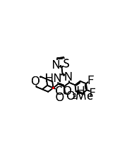 COC(=O)C1=C(CC2C3COCC2CC(C(=O)O)C3)NC(c2nccs2)=NC1c1ccc(F)c(F)c1